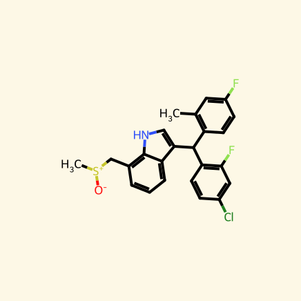 Cc1cc(F)ccc1C(c1ccc(Cl)cc1F)c1c[nH]c2c(C[S+](C)[O-])cccc12